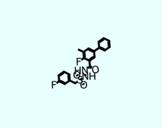 Cc1cc(-c2ccccc2)cc(C(=O)NNS(=O)(=O)Cc2cccc(F)c2)c1F